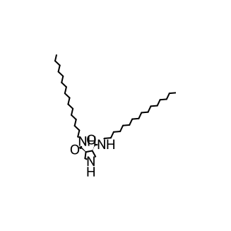 CCCCCCCCCCCCCCCCNC(=O)[C@@H]1CNC[C@H]1C(=O)NCCCCCCCCCCCCCCCC